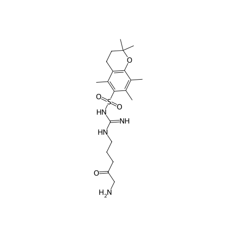 Cc1c(C)c(S(=O)(=O)NC(=N)NCCCC(=O)CN)c(C)c2c1OC(C)(C)CC2